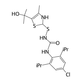 CC1=C(C(C)(C)O)SC(SNC(=O)Nc2c(C(C)C)cc(Cl)cc2C(C)C)N1